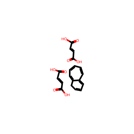 C1=CC=C2CC=CC=C2C=C1.O=C(O)C=CC(=O)O.O=C(O)C=CC(=O)O